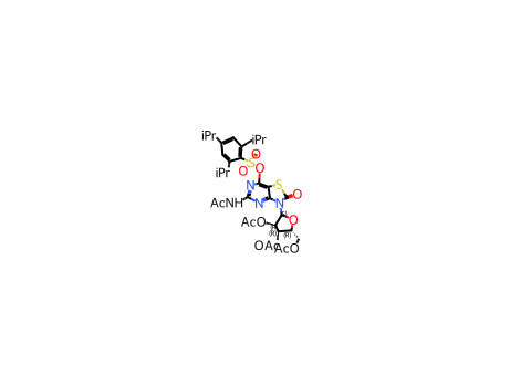 CC(=O)Nc1nc(OS(=O)(=O)c2c(C(C)C)cc(C(C)C)cc2C(C)C)c2sc(=O)n([C@H]3O[C@H](COC(C)=O)[C@@H](OC(C)=O)[C@H]3OC(C)=O)c2n1